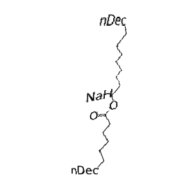 CCCCCCCCCCCCCCCCCCOC(=O)CCCCCCCCCCCCCCC.[NaH]